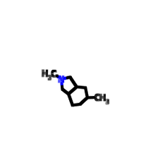 CC1CCC2CN(C)CC2C1